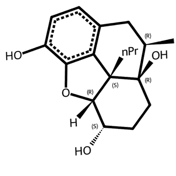 CCC[C@]12c3c4ccc(O)c3O[C@H]1[C@@H](O)CC[C@@]2(O)[C@H](C)C4